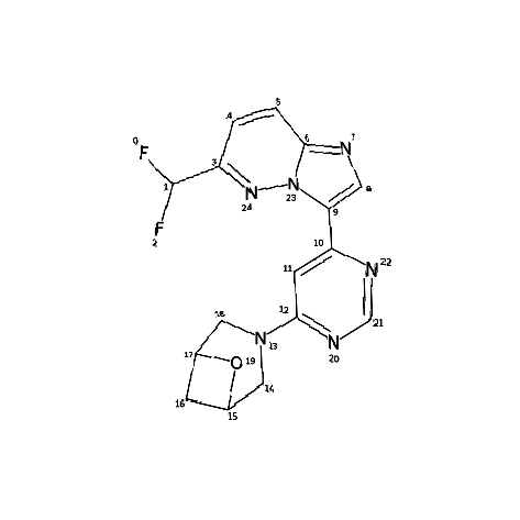 FC(F)c1ccc2ncc(-c3cc(N4CC5CC(C4)O5)ncn3)n2n1